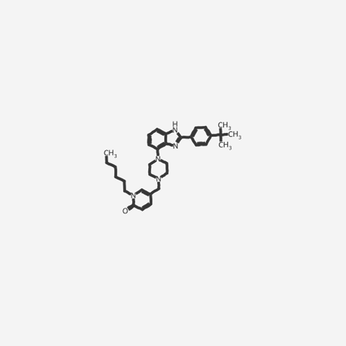 CCCCCCn1cc(CN2CCN(c3cccc4[nH]c(-c5ccc(C(C)(C)C)cc5)nc34)CC2)ccc1=O